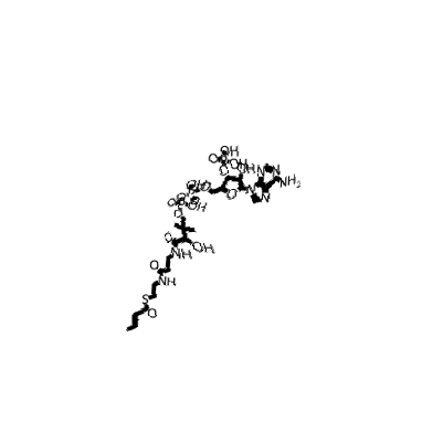 C/C=C/C(=O)SCCNC(=O)CCNC(=O)C(O)C(C)(C)COP(=O)(O)OP(=O)(O)OCC1OC(n2cnc3c(N)ncnc32)C(O)C1OP(=O)(O)O